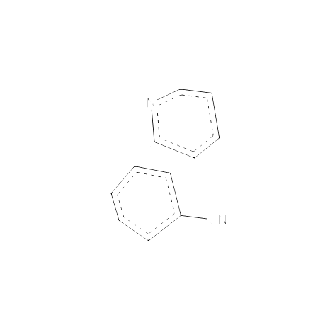 N#Cc1ccccc1.c1ccncc1